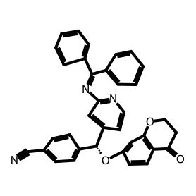 N#Cc1ccc([C@@H](Oc2ccc3c(c2)OCCC3=O)c2ccnc(N=C(c3ccccc3)c3ccccc3)c2)cc1